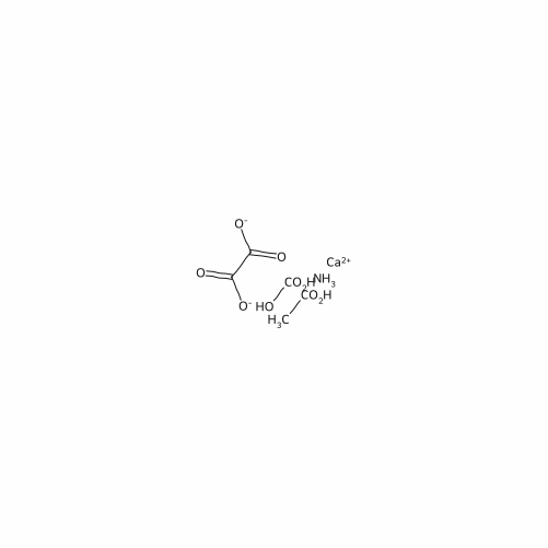 CC(=O)O.N.O=C(O)O.O=C([O-])C(=O)[O-].[Ca+2]